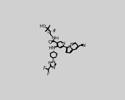 CC(C)(O)[C@H](F)CNC(=O)c1cnc(-c2ccc3cc(C#N)cnn23)cc1N[C@H]1CC[C@H](n2cnc(C(F)F)n2)CC1